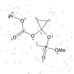 COP(C)(=O)OC1(OC(=O)OC(C)C)CC1